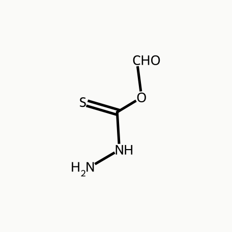 NNC(=S)OC=O